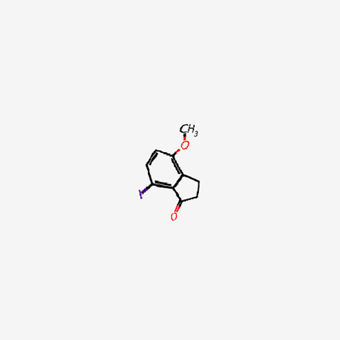 COc1ccc(I)c2c1CCC2=O